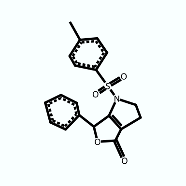 Cc1ccc(S(=O)(=O)N2CCC3=C2C(c2ccccc2)OC3=O)cc1